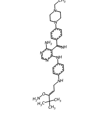 CCN1CCN(c2ccc(C(=N)c3c(N)ncnc3Nc3ccc(NC/C=C(\ON)C(C)(C)C)cc3)cc2)CC1